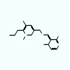 CCCC1=C(C)C=C(CN/C=C2/C(Cl)=NC=CC2N)CN1C